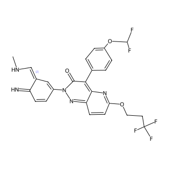 CN/C=C1/C=C(n2nc3ccc(OCCC(F)(F)F)nc3c(-c3ccc(OC(F)F)cc3)c2=O)C=CC1=N